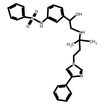 CC(C)(CCn1cnc(-c2ccccc2)c1)NCC(O)c1cccc(NS(=O)(=O)c2ccccc2)c1